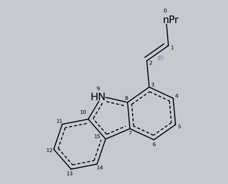 CCC/C=C/c1cccc2c1[nH]c1ccccc12